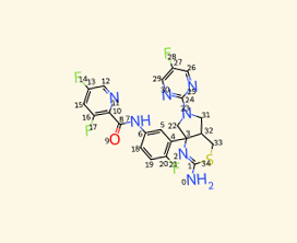 NC1=NC2(c3cc(NC(=O)c4ncc(F)cc4F)ccc3F)CN(c3ncc(F)cn3)CC2CS1